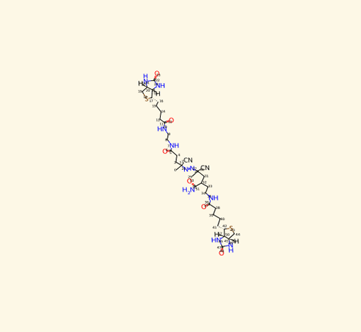 CC(C#N)(CCC(=O)NCCNC(=O)CCCC[C@@H]1SC[C@@H]2NC(=O)N[C@@H]21)/N=N/C(C)(C#N)CC(CCNC(=O)CCCC[C@@H]1SC[C@@H]2NC(=O)N[C@@H]21)C(N)=O